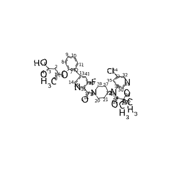 C[C@H](CC(=O)O)Oc1ccccc1-c1cnc(C(=O)N2CCC(N3C(=O)C(C)(C)Oc4ncc(Cl)cc43)CC2)c(F)c1